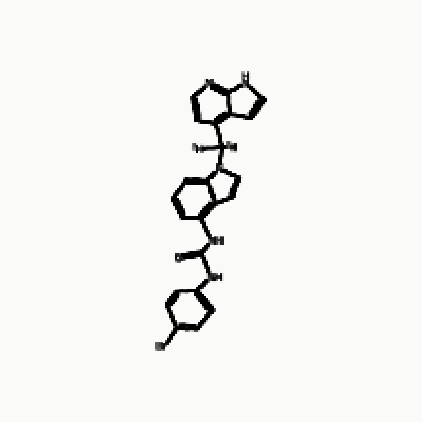 [2H]C([2H])(c1ccnc2[nH]ccc12)n1ccc2c(NC(=O)Nc3ccc(Br)cc3)cccc21